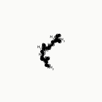 C[C@H]1COC2(CCOC2)CN1c1nc(N2CCOC[C@@H]2C)c2ccc(-c3cccc(C(=O)NCC4CC5(CO4)CN(c4nc(N6CCOC[C@@H]6C)c6ccc(-c7cccc(C(=O)NCC8CCC9(C8)CN(c8nc(N%10CCOC[C@@H]%10C)c%10ccc(-c%11cccc(C(N)=O)c%11)nc%10n8)CCO9)c7)nc6n4)[C@@H](C)CO5)c3)nc2n1